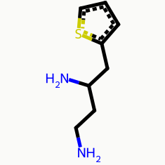 NCCC(N)Cc1cccs1